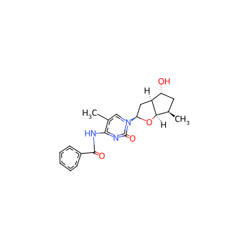 Cc1cn([C@H]2C[C@@H]3[C@H](O2)[C@H](C)C[C@H]3O)c(=O)nc1NC(=O)c1ccccc1